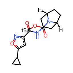 CC(C)(C)OC(=O)N1[C@@H]2CC[C@H]1C[C@H](NC(=O)c1cc(C3CC3)on1)C2